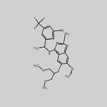 COCC(COC)Oc1cc2c(NC(C)c3cc(N)cc(C(F)(F)F)c3)nc(C)nc2cc1OC